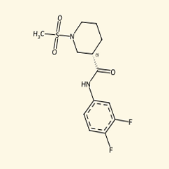 CS(=O)(=O)N1CCC[C@H](C(=O)Nc2ccc(F)c(F)c2)C1